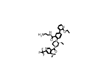 CCOc1ncccc1-c1ccc(N2CCN(C(=O)c3cnc(C(F)(F)F)cc3N(C)C)C[C@H]2CC)c(C(=O)NCCN)c1